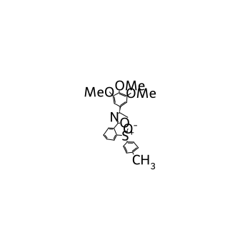 COc1cc([C@H]2COC(c3ccccc3[S+]([O-])c3ccc(C)cc3)=N2)cc(OC)c1OC